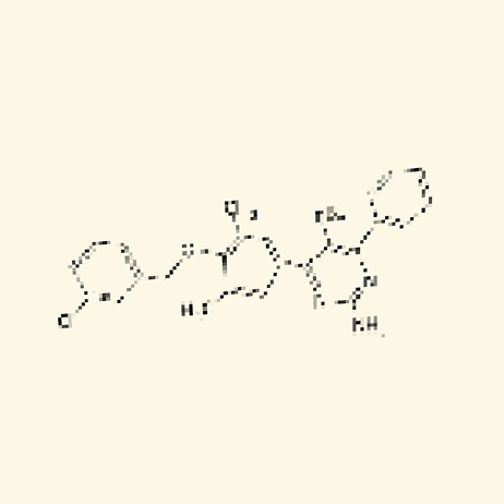 CCCCc1c(-c2ccccc2)nc(N)nc1-c1cc(C)c(OCc2cccc(Cl)c2)c(C)c1